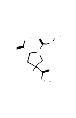 COC(=O)[C@@H]1CC(O)(C(=O)OC)CN1C(=O)OC(C)(C)C